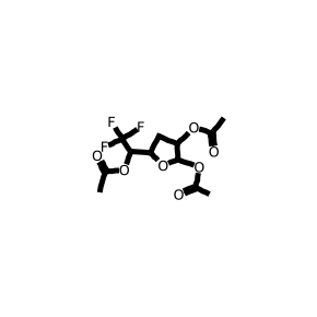 CC(=O)OC1CC(C(OC(C)=O)C(F)(F)F)OC1OC(C)=O